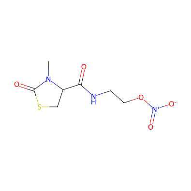 CN1C(=O)SCC1C(=O)NCCO[N+](=O)[O-]